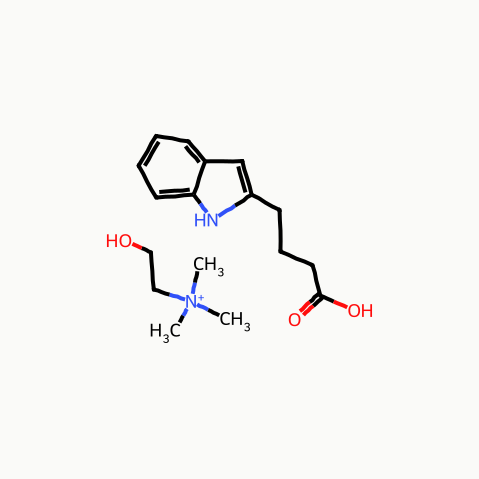 C[N+](C)(C)CCO.O=C(O)CCCc1cc2ccccc2[nH]1